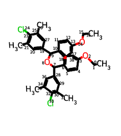 CCOc1ccc(C(OC(c2ccc(OCC)cc2)c2cc(C)c(Cl)c(C)c2)c2cc(C)c(Cl)c(C)c2)cc1